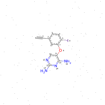 C#Cc1ccc(I)c(Oc2cnc(N)nc2N)c1